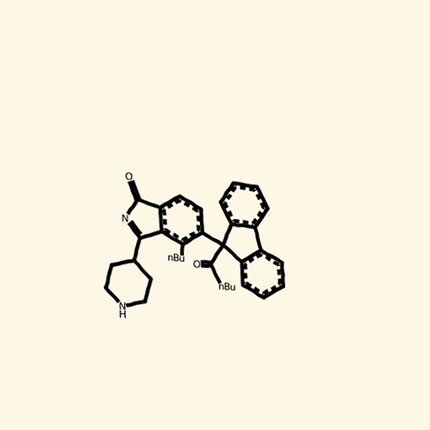 CCCCC(=O)C1(c2ccc3c(c2CCCC)C(C2CCNCC2)=NC3=O)c2ccccc2-c2ccccc21